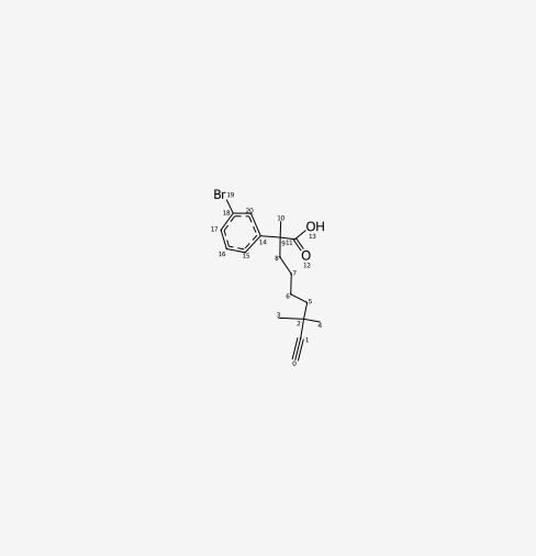 C#CC(C)(C)CCCCC(C)(C(=O)O)c1cccc(Br)c1